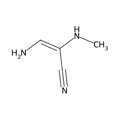 CN/C(C#N)=C/N